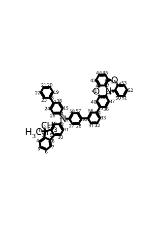 CC1(C)c2ccccc2-c2ccc(N(c3ccc(-c4ccccc4)cc3)c3ccc(-c4cccc(-c5ccc6c(c5)Oc5cccc7c5N6c5ccccc5O7)c4)cc3)cc21